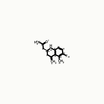 C=C1C[C@@H](CC(N)=O)Nc2ccc(F)c(C)c21